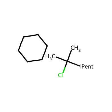 C1CCCCC1.CCCC(C)C(C)(C)Cl